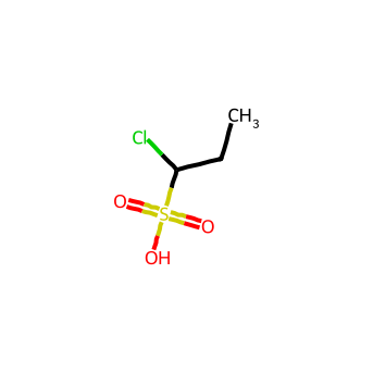 CCC(Cl)S(=O)(=O)O